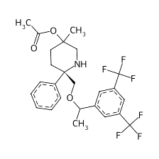 CC(=O)OC1(C)CC[C@@](COC(C)c2cc(C(F)(F)F)cc(C(F)(F)F)c2)(c2ccccc2)NC1